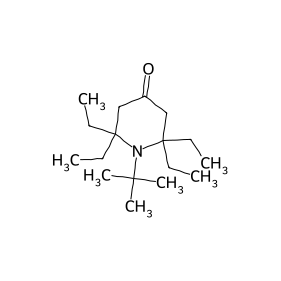 CCC1(CC)CC(=O)CC(CC)(CC)N1C(C)(C)C